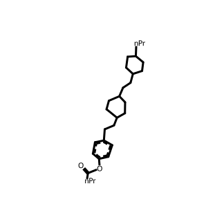 CCCC(=O)Oc1ccc(CCC2CCC(CCC3CCC(CCC)CC3)CC2)cc1